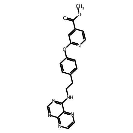 COC(=O)c1ccnc(Oc2ccc(CCNc3ncnc4nccnc34)cc2)c1